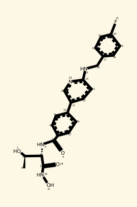 C[C@@H](O)[C@H](NC(=O)c1ccc(-c2ccc(NCc3ccc(F)cc3)nc2)cc1)C(=O)NO